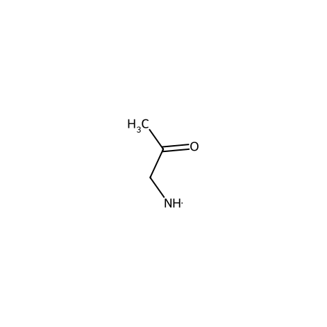 CC(=O)C[NH]